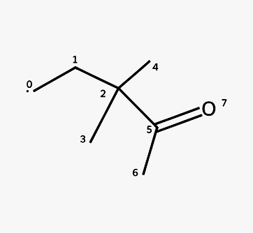 [CH2]CC(C)(C)C(C)=O